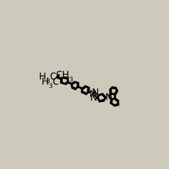 CC(C)(C)c1ccc(-c2ccc(-c3ccc(-n4nc5ccc(-n6c7ccccc7c7ccccc76)cc5n4)cc3)cc2)cc1